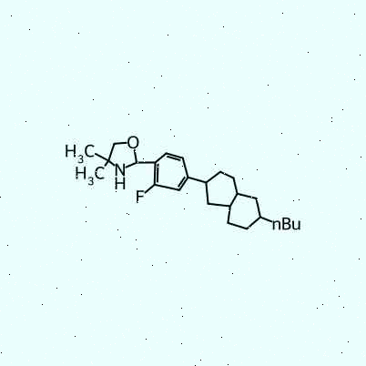 CCCCC1CCC2CC(c3ccc(C4NC(C)(C)CO4)c(F)c3)CCC2C1